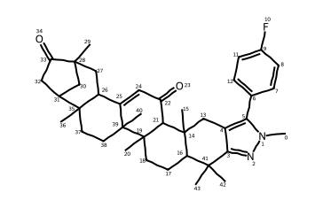 Cn1nc2c(c1-c1ccc(F)cc1)CC1(C)C(CCC3(C)C1C(=O)C=C1C4CC5(C)CC(CC5=O)C4(C)CCC13C)C2(C)C